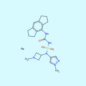 CN1CC(N(c2cnn(C)c2)S(=O)(=O)NC(=O)Nc2c3c(cc4c2CCC4)CCC3)C1.[Na]